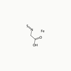 O=C(O)CN=S.[Fe]